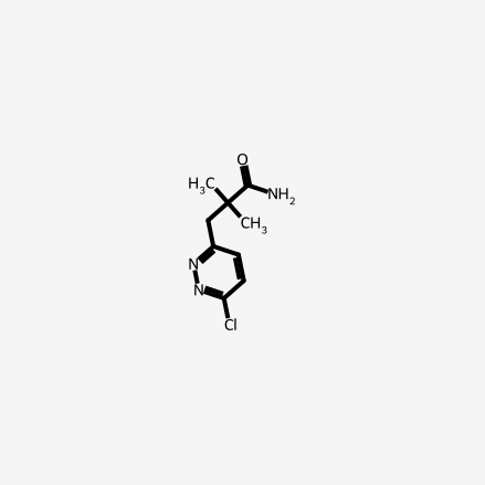 CC(C)(Cc1ccc(Cl)nn1)C(N)=O